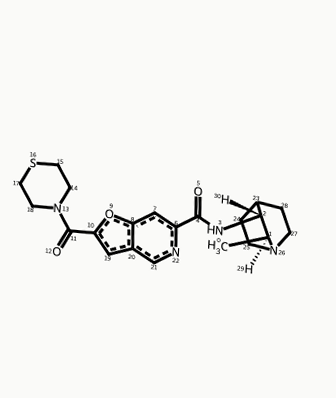 C[C@H]1[C@H](NC(=O)c2cc3oc(C(=O)N4CCSCC4)cc3cn2)C2CCN1CC2